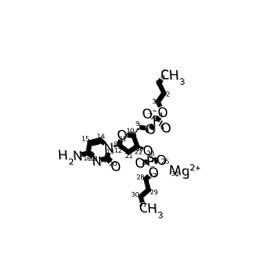 CCCCOP(=O)([O-])OC[C@H]1O[C@@H](n2ccc(N)nc2=O)C[C@@H]1OP(=O)([O-])OCCCC.[Mg+2]